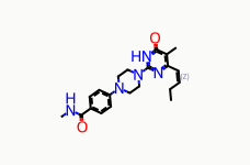 CC/C=C\c1nc(N2CCN(c3ccc(C(=O)NC)cc3)CC2)[nH]c(=O)c1C